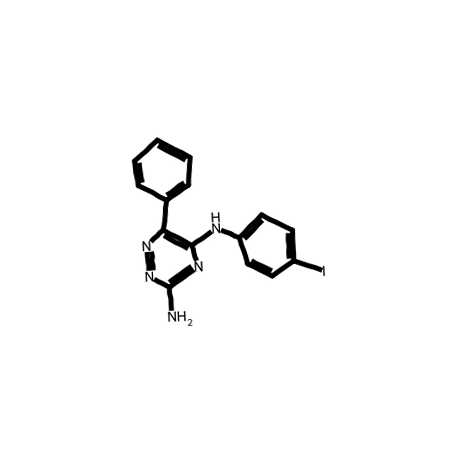 Nc1nnc(-c2ccccc2)c(Nc2ccc(I)cc2)n1